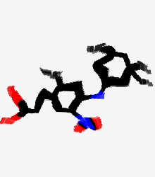 Cc1cc(NC2CC(C)CC(C)(C)C2)c([N+](=O)[O-])cc1C=CC(=O)O